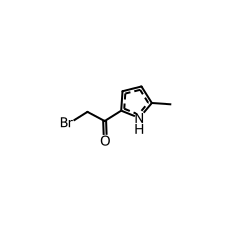 Cc1ccc(C(=O)CBr)[nH]1